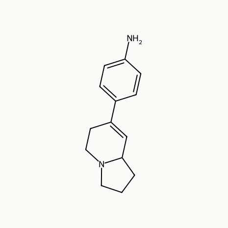 Nc1ccc(C2=CC3CCCN3CC2)cc1